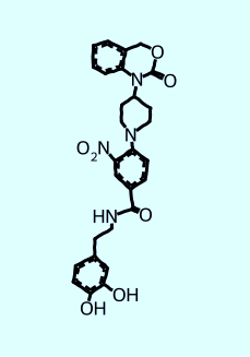 O=C(NCCc1ccc(O)c(O)c1)c1ccc(N2CCC(N3C(=O)OCc4ccccc43)CC2)c([N+](=O)[O-])c1